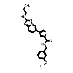 CCCNc1nc2ccc(-c3csc(C(=O)NCc4cccc(OC)c4)c3)cn2n1